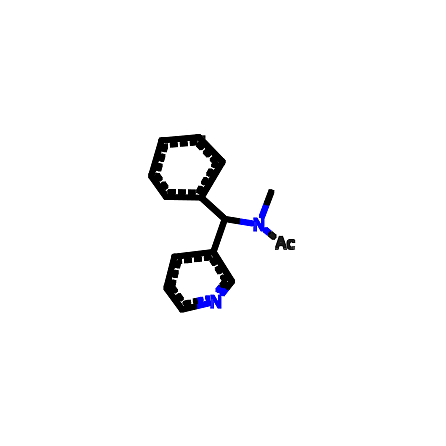 CC(=O)N(C)C(c1c[c]ccc1)c1cccnc1